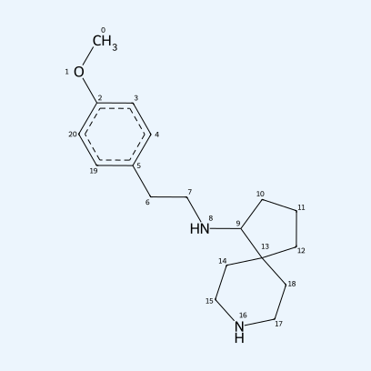 COc1ccc(CCNC2CCCC23CCNCC3)cc1